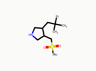 CCC(C)(C)CC1CNCC1CS(=O)(=O)C(C)(C)C